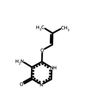 CC(C)=COc1[nH]cnc(=O)c1N